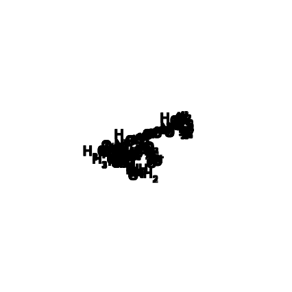 COC(=O)CC[C@H](NC(=O)CCOCCOCCOCCOCCNC(=O)CCC(=O)N1Cc2ccccc2C#Cc2ccccc21)C(=O)N[C@H](C(=O)N[C@@H](CCCNC(N)=O)C(=O)Nc1ccc(COC(=O)Oc2ccc([N+](=O)[O-])cc2)cc1)C(C)C